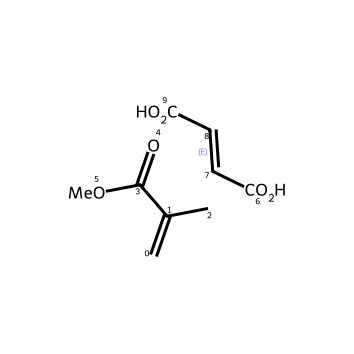 C=C(C)C(=O)OC.O=C(O)/C=C/C(=O)O